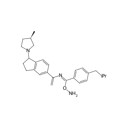 C=C(/N=C(\ON)c1ccc(CC(C)C)cc1)c1ccc2c(c1)CCC2N1CC[C@@H](C)C1